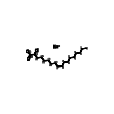 CCCCCCCC/C=C\CCCCCCC(Cl)C(=O)[O-].[Na+]